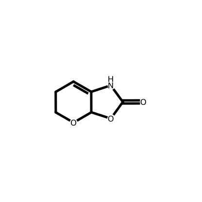 O=C1NC2=CCCOC2O1